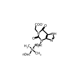 CCCCCCCCCC[N+](C)(C)CCCCCCCCCC.Cn1c(=O)n(CC(=O)[O-])c(=O)c2[nH]cnc21